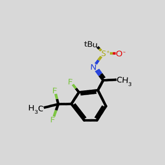 CC(=N[S+]([O-])C(C)(C)C)c1cccc(C(C)(F)F)c1F